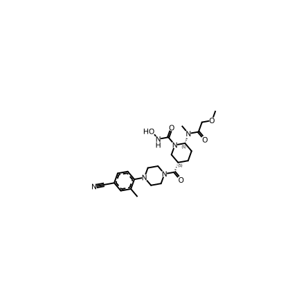 COCC(=O)N(C)[C@@H]1CC[C@H](C(=O)N2CCN(c3ccc(C#N)cc3C)CC2)CN1C(=O)NO